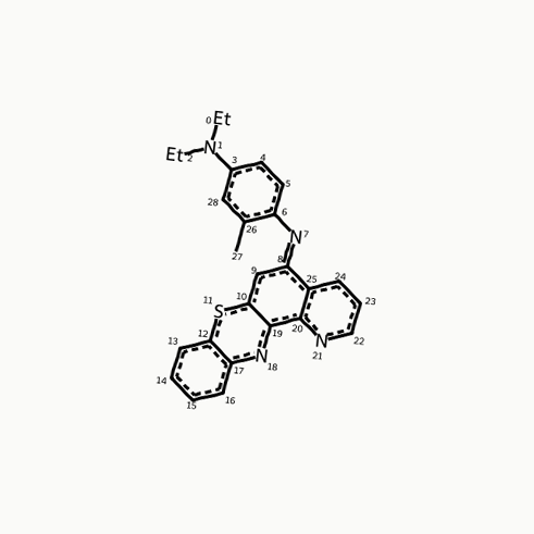 CCN(CC)c1ccc(N=c2cc3sc4ccccc4nc-3c3ncccc23)c(C)c1